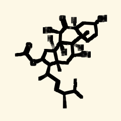 CC(=O)O[C@H]1C[C@H]2[C@H]3[C@H]([C@@H](O)C[C@]2(C)[C@H]1[C@H](C)/C=C/[C@H](C)C(C)C)[C@@]1(C)CC[C@H](O)C[C@@H]1C(=O)[C@@H]3O